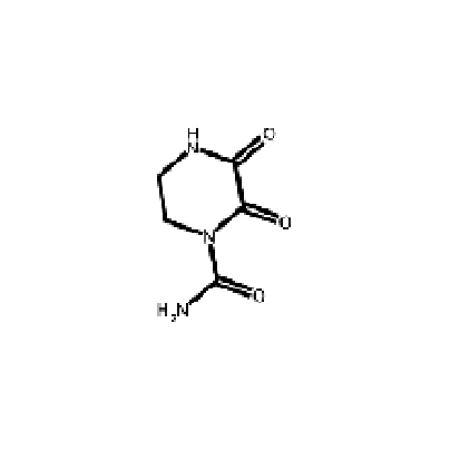 NC(=O)N1CCNC(=O)C1=O